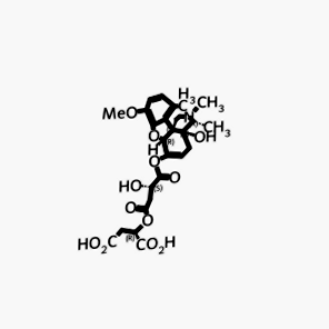 COc1ccc(C)c2c1O[C@H]1C(OC(=O)[C@@H](O)CC(=O)O[C@H](CC(=O)O)C(=O)O)=CC[C@@]3(O)[C@@H](C)N(C)CC[C@]213